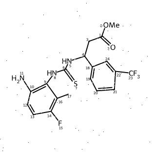 COC(=O)CC(NC(=S)Nc1c(N)ccc(F)c1C)c1cccc(C(F)(F)F)c1